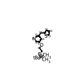 CC(C)(C)[Si](C)(C)OCCOc1cncc(Cc2cccs2)c1